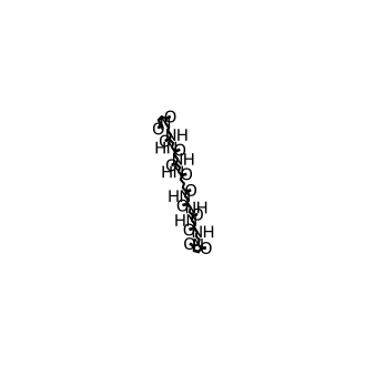 O=C(CCCC(=O)NCC(=O)NCC(=O)NCC(=O)NCCN1C(=O)C=CC1=O)NCC(=O)NCC(=O)NCC(=O)NCCN1C(=O)C=CC1=O